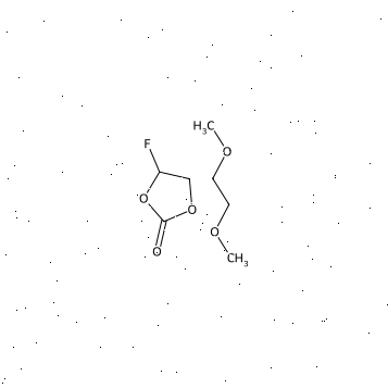 COCCOC.O=C1OCC(F)O1